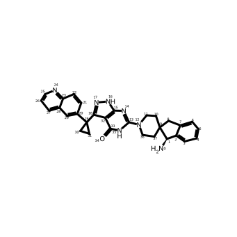 N[C@@H]1c2ccccc2CC12CCN(c1nc3[nH]nc(C4(c5ccc6ncccc6c5)CC4)c3c(=O)[nH]1)CC2